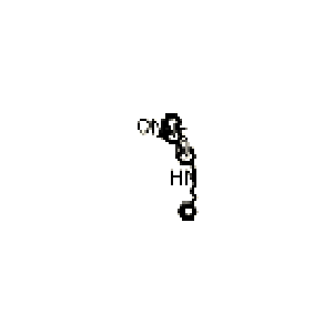 O=CN1C=C2C=C(N3CCC(CNCCCc4ccccc4)CC3)SC3=CC=CC1N23